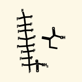 C=C(CC)C(=O)O.NS(=O)(=O)C(F)(F)C(F)(F)C(F)(F)C(F)(F)C(F)(F)C(F)(F)C(F)(F)C(F)(F)F